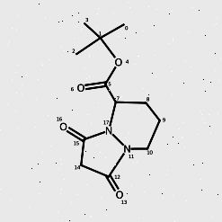 CC(C)(C)OC(=O)C1CCCN2C(=O)CC(=O)N12